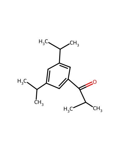 CC(C)C(=O)c1cc(C(C)C)cc(C(C)C)c1